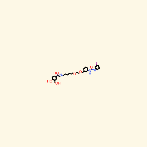 O=C(Nc1cccc(I)c1)Nc1cccc(COCCOCCCCCCNC[C@H](O)c2ccc(O)c(CO)c2)c1